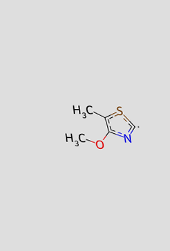 COc1n[c]sc1C